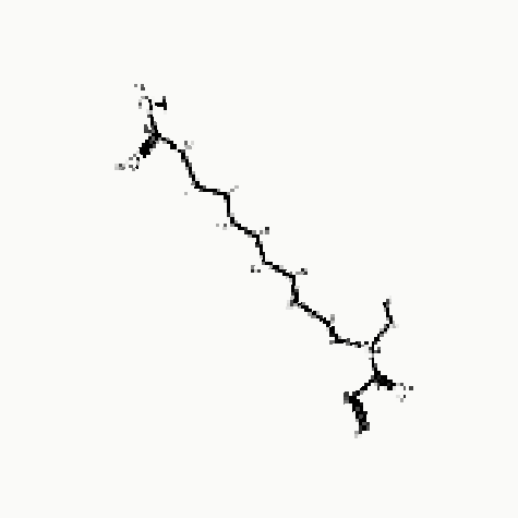 C=CC(=O)N(CC)CCCCCCCCCCC(=O)O